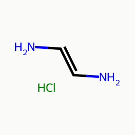 Cl.N/C=C/N